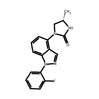 C[C@H]1CN(c2cccc3c2cnn3-c2ccccc2F)C(=O)N1